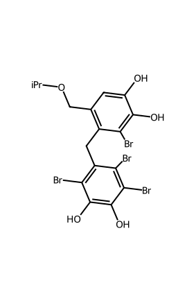 CC(C)OCc1cc(O)c(O)c(Br)c1Cc1c(Br)c(O)c(O)c(Br)c1Br